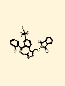 O=C1c2ccccc2C(=O)N1OCc1nnc2n1-c1ccc(C(F)(F)F)cc1C(c1ccccc1Cl)=NC2